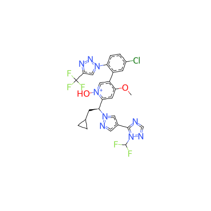 COc1cc([C@H](CC2CC2)n2cc(-c3ncnn3C(F)F)cn2)[n+](O)cc1-c1cc(Cl)ccc1-n1cc(C(F)(F)F)nn1